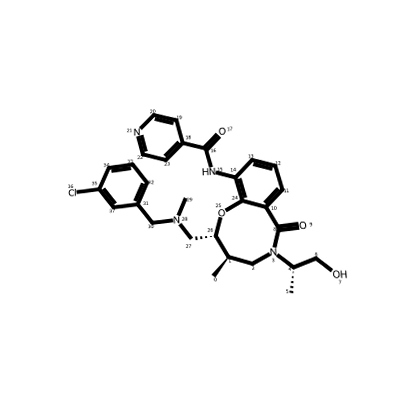 C[C@@H]1CN([C@@H](C)CO)C(=O)c2cccc(NC(=O)c3ccncc3)c2O[C@H]1CN(C)Cc1cccc(Cl)c1